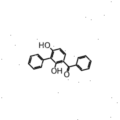 O=C(c1ccccc1)c1ccc(O)c(-c2ccccc2)c1O